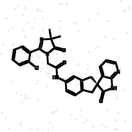 CC1(C)N=C(c2ccccc2Cl)N(CC(=O)Nc2ccc3c(c2)C[C@@]2(C3)C(=O)Nc3ncccc32)C1=O